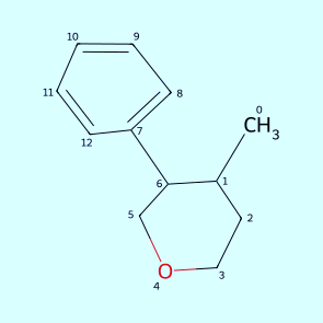 CC1CCOCC1c1ccccc1